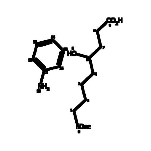 CCCCCCCCCCCCCCC(O)CCC(=O)O.Nc1ccccc1